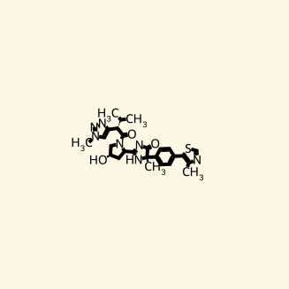 Cc1ncsc1-c1ccc([C@]2(C)NC(C3C[C@@H](O)CN3C(=O)[C@H](c3cn(C)nn3)C(C)C)=NC2=O)cc1